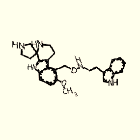 COc1ccc2[nH]c3c(c2c1CONCCc1c[nH]c2ccccc12)CCNC31CCNC1